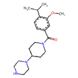 COc1cc(C(=O)N2CCC(N3CCNCC3)CC2)ccc1C(C)C